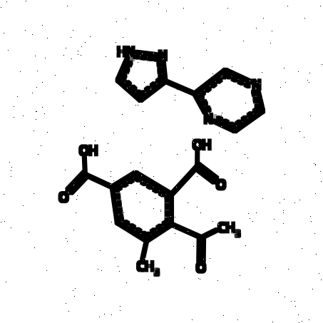 CC(=O)c1c(C)cc(C(=O)O)cc1C(=O)O.c1cnc(-c2cc[nH]n2)cn1